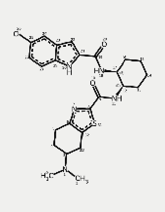 CN(C)C1CCc2nc(C(=O)N[C@@H]3CCCC[C@@H]3NC(=O)c3cc4cc(Cl)ccc4[nH]3)sc2C1